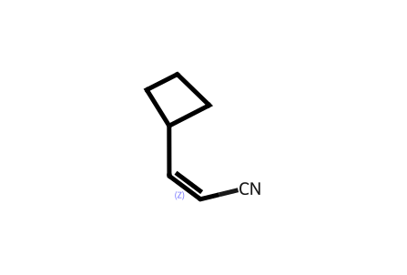 N#C/C=C\C1CCC1